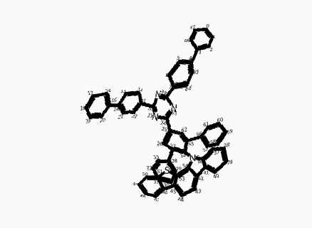 c1ccc(-c2ccc(-c3nc(-c4ccc(-c5ccccc5)cc4)nc(-c4cc(-c5ccccc5)c(-n5c6ccccc6c6ccc7c8ccccc8sc7c65)c(-c5ccccc5)c4)n3)cc2)cc1